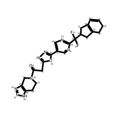 O=C(Cc1nnc(-c2cnc(C(F)(F)C3CC4=C(CCC=C4)C3)nc2)o1)N1CCc2[nH]nnc2C1